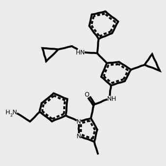 Cc1cc(C(=O)Nc2cc(C3CC3)cc(C(NCC3CC3)c3ccccc3)c2)n(-c2cccc(CN)c2)n1